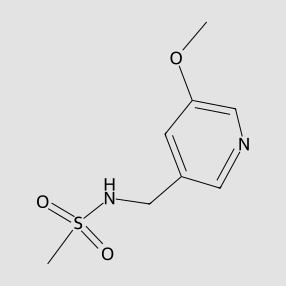 COc1cncc(CNS(C)(=O)=O)c1